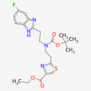 CCOC(=O)c1csc(CCN(CCc2nc3cc(F)ccc3[nH]2)C(=O)OC(C)(C)C)n1